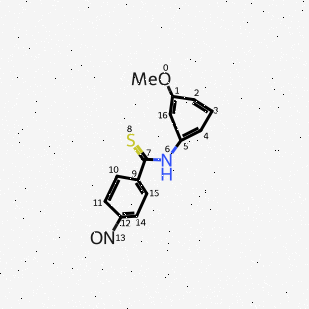 COc1cccc(NC(=S)c2ccc(N=O)cc2)c1